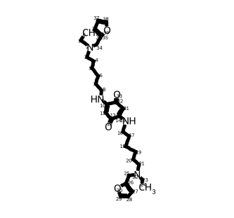 CCN(CCCCCCNC1=CC(=O)C(NCCCCCCN(CC)Cc2ccco2)=CC1=O)Cc1ccco1